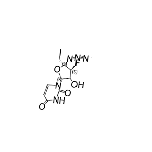 [N-]=[N+]=N[C@]1(CI)O[C@@H](n2ccc(=O)[nH]c2=O)C(O)[C@@H]1F